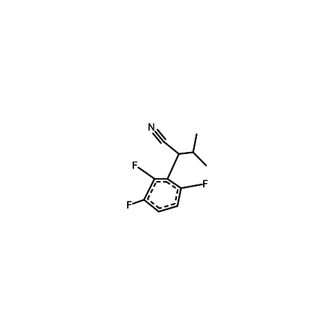 CC(C)C(C#N)c1c(F)ccc(F)c1F